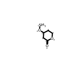 O=C1CC(O[SiH3])CCO1